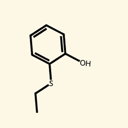 CCSc1ccccc1O